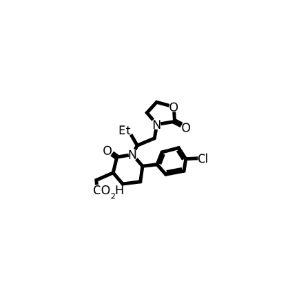 CCC(CN1CCOC1=O)N1C(=O)C(CC(=O)O)CCC1c1ccc(Cl)cc1